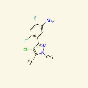 Cn1nc(-c2cc(N)c(F)cc2F)c(Cl)c1C(F)(F)F